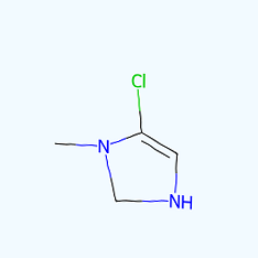 CN1CNC=C1Cl